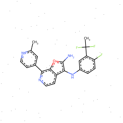 Cc1cc(-c2nccc3c(Nc4ccc(F)c(C(C)(F)F)c4)c(N)oc23)ccn1